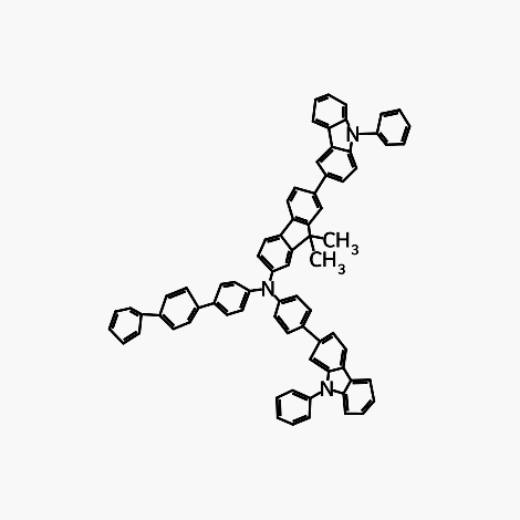 CC1(C)c2cc(-c3ccc4c(c3)c3ccccc3n4-c3ccccc3)ccc2-c2ccc(N(c3ccc(-c4ccc(-c5ccccc5)cc4)cc3)c3ccc(-c4ccc5c6ccccc6n(-c6ccccc6)c5c4)cc3)cc21